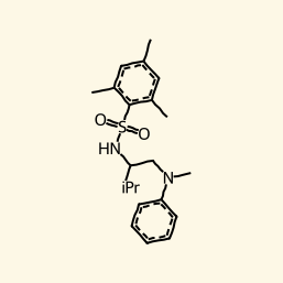 Cc1cc(C)c(S(=O)(=O)NC(CN(C)c2ccccc2)C(C)C)c(C)c1